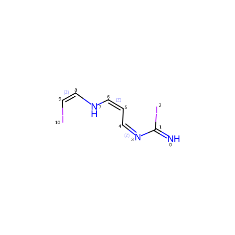 N=C(I)/N=C\C=C/N/C=C\I